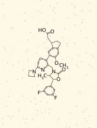 COc1cc2c(cc1-c1ccc(N3CCC3)nc1CN1C(=O)OC(c3cc(F)cc(F)c3)C1C)C(CC(=O)O)CC2